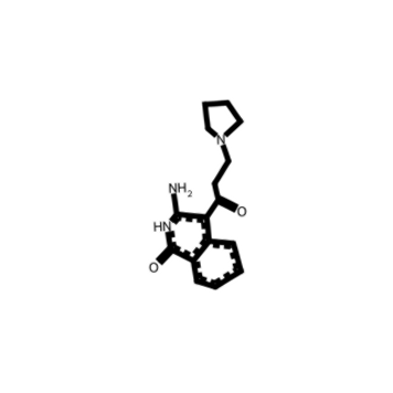 Nc1[nH]c(=O)c2ccccc2c1C(=O)CCN1CCCC1